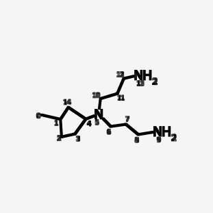 CC1CCC(N(CCCN)CCCN)C1